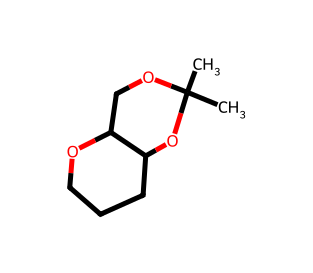 CC1(C)OCC2OCCCC2O1